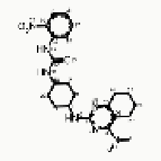 CN(C)c1nc(NC2CCC(NC(=O)Nc3ccccc3[N+](=O)[O-])CC2)nc2c1CCCC2